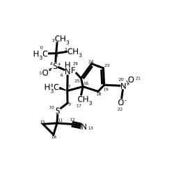 CC(C)(C)[S@@+]([O-])N[C@@](C)(CSC1(C#N)CC1)C1(C)CC([N+](=O)[O-])=CC=C1F